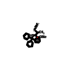 COC(=O)C(NC(c1ccccc1)(c1ccccc1)c1ccccc1)C(C)N=[N+]=[N-]